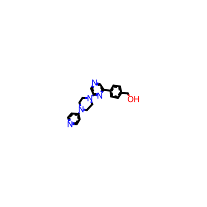 OCc1ccc(-c2cncc(N3CCN(c4ccncc4)CC3)n2)cc1